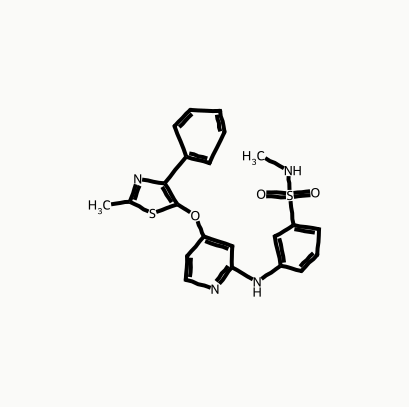 CNS(=O)(=O)c1cccc(Nc2cc(Oc3sc(C)nc3-c3ccccc3)ccn2)c1